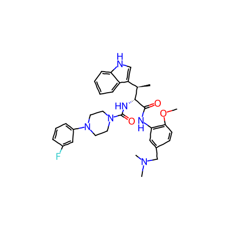 COc1ccc(CN(C)C)cc1NC(=O)[C@H](NC(=O)N1CCN(c2cccc(F)c2)CC1)[C@H](C)c1c[nH]c2ccccc12